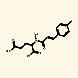 Cc1ccc(/C=C/C(=O)N(O)C(CCC(N)=O)C(=O)O)cc1